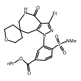 CCCOC(=O)c1ccc(S(=O)(=O)NC)c(-n2nc(CC)c3c2CC2(CCOCC2)CNC3=O)c1